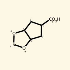 O=C(O)C1CC2OSOC2C1